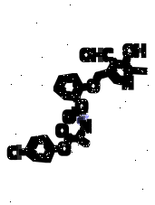 Cc1ncc(COc2ccccc2O/[P+]([O-])=N/C(C)C(=O)Oc2ccc(Cl)cc2)c(C=O)c1O